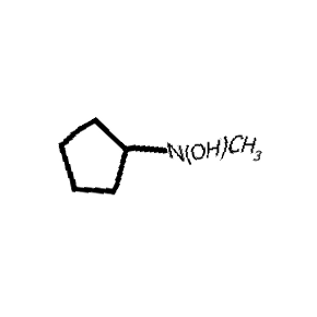 CN(O)C1CCCC1